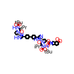 CC(C)[C@H](NC(=O)OC(C)(C)C)C(=O)N1CCC[C@H]1c1nc(-c2ccc(-c3ccc(-c4cnc([C@@H]5C[C@@H](OC(=O)N6Cc7ccc8c(c7C6)OCO8)CN5C(=O)[C@@H](NC(=O)OC(C)(C)C)C(C)C)[nH]4)cc3)cc2)c[nH]1